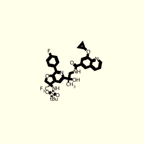 CC(C)(C)S(=O)(=O)N[C@@]1(C(F)(F)F)COc2c1cc([C@@](C)(O)CNC(=O)c1cc(OC3CC3)c3ncccc3c1)nc2-c1ccc(F)cc1